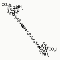 Cc1c(C(=O)C(N)=O)c2c(OCC(=O)O)cccc2n1CCCCCCCCCCCCSSCCCCCCCCCCCn1c(C)c(C(=O)C(N)=O)c2c(OCC(=O)O)cccc21